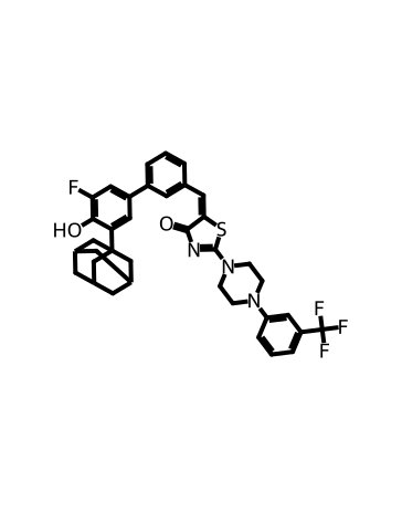 O=C1N=C(N2CCN(c3cccc(C(F)(F)F)c3)CC2)SC1=Cc1cccc(-c2cc(F)c(O)c(C34CC5CC(CC(C5)C3)C4)c2)c1